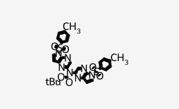 Cc1ccc(S(=O)(=O)n2ccc3nc(N(C(=O)OC(C)(C)C)c4cnc5c(ccn5S(=O)(=O)c5ccc(C)cc5)n4)cnc32)cc1